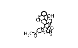 C=CC(=O)N1CCN(c2c3c4n(c(=O)c2C#N)CCOC4=C(c2c(O)cccc2F)C(Cl)C3)[C@@H](C)C1